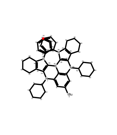 CC(C)(C)c1cc2c3c(c1)N(C1CCCCC1)c1c4c(n(C5=CC=CCC5)c1B3c1c(c3c(n1C1=C=C=CC=C1)CCCC3)N2C1CCCCC1)CCCC4